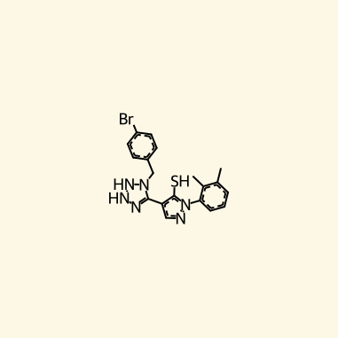 Cc1cccc(-n2ncc(C3=NNNN3Cc3ccc(Br)cc3)c2S)c1C